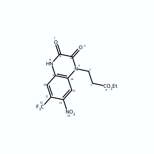 CCOC(=O)CCn1c(=O)c(=O)[nH]c2cc(C(F)(F)F)c([N+](=O)[O-])cc21